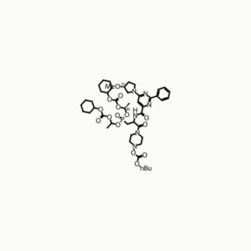 CCCCOC(=O)ON1CCN(C(=O)C(CP(=O)(OC(C)OC(=O)OC2CCCCC2)O[C@H](C)OC(=O)OC2CCCCC2)NC(=O)c2cc(N3CC[C@H](OC)C3)nc(-c3ccccc3)n2)CC1